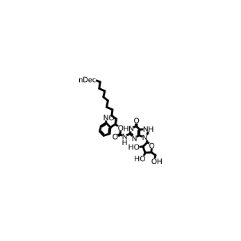 CCCCCCCCCCCCCCCCCCCC(OC(=O)Nc1nc2c(c(=O)[nH]1)NCN2C1OC(CO)C(O)C1O)c1ccccc1[N+](=O)[O-]